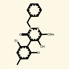 CCc1cc(C)cc(CC)c1-c1c(O)c(OC)nn(Cc2ccccc2)c1=O